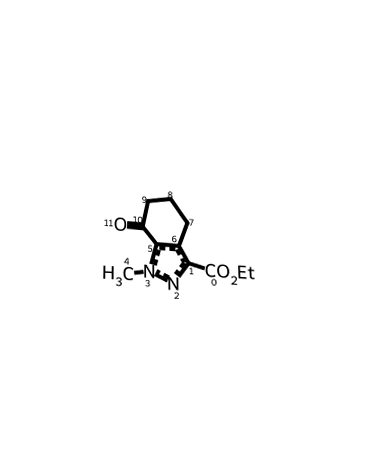 CCOC(=O)c1nn(C)c2c1CCCC2=O